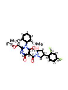 COc1cccc(OC)c1-n1c(COC(C)C)nc(=O)c(C(=O)N2CCC(c3ccc(F)cc3F)C2)c1O